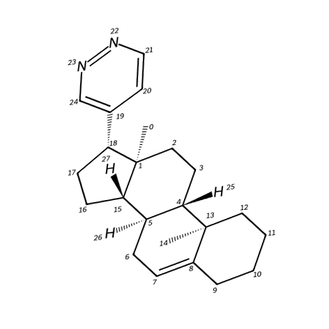 C[C@]12CC[C@H]3[C@@H](CC=C4CCCC[C@@]43C)[C@@H]1CC[C@@H]2c1ccnnc1